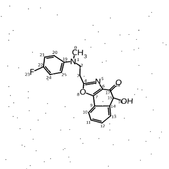 CN(CCc1nc2c(o1)-c1ccccc1C(O)C2=O)c1ccc(F)cc1